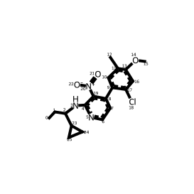 CCC(Nc1nccc(-c2cc(C)c(OC)cc2Cl)c1[N+](=O)[O-])C1CC1